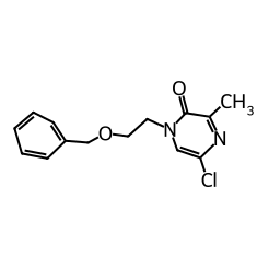 Cc1nc(Cl)cn(CCOCc2ccccc2)c1=O